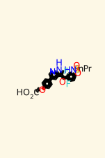 CCCS(=O)(=O)Nc1ccc(F)c(C(=O)c2c[nH]c3ncc(-c4ccc(OCC(=O)O)cc4)cc23)c1F